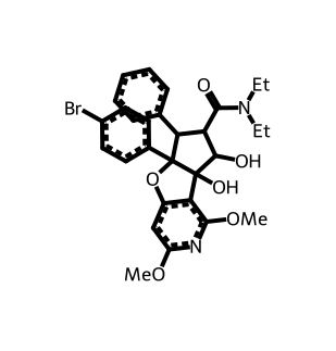 CCN(CC)C(=O)C1C(O)C2(O)c3c(cc(OC)nc3OC)OC2(c2ccc(Br)cc2)C1c1ccccc1